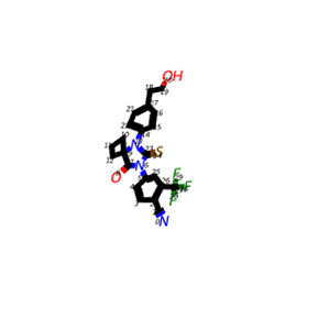 N#Cc1ccc(N2C(=O)C3(CCC3)N(c3ccc(CCO)cc3)C2=S)cc1C(F)(F)F